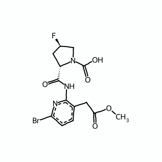 COC(=O)Cc1ccc(Br)nc1NC(=O)[C@@H]1C[C@@H](F)CN1C(=O)O